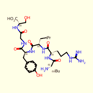 CC[C@H](C)[C@H](N)C(=O)N[C@@H](CCCNC(=N)N)C(=O)N[C@@H](CC(C)C)C(=O)N[C@@H](Cc1ccc(O)cc1)C(=O)NCC(=O)N[C@@H](CO)C(=O)O